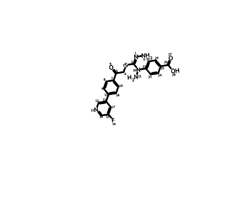 N/N=C(/SCC(=O)c1ccc(-c2cncc(F)c2)cc1)N(N)c1ccc(C(=O)O)cc1